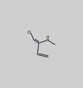 C=C/C(=C/Cl)NC